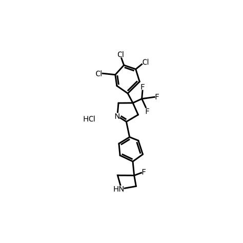 Cl.FC1(c2ccc(C3=NCC(c4cc(Cl)c(Cl)c(Cl)c4)(C(F)(F)F)C3)cc2)CNC1